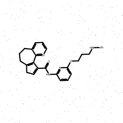 CCCNCCCOc1cccc(NC(=O)C2=CCC3=C2c2ncccc2CCC3)n1